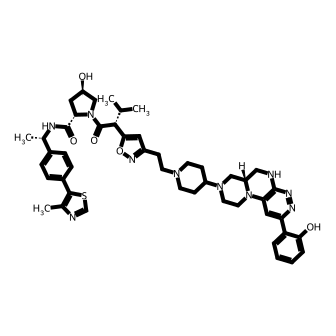 Cc1ncsc1-c1ccc([C@H](C)NC(=O)[C@@H]2C[C@@H](O)CN2C(=O)[C@@H](c2cc(CCN3CCC(N4CCN5c6cc(-c7ccccc7O)nnc6NC[C@H]5C4)CC3)no2)C(C)C)cc1